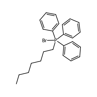 CCCCCCCP(Br)(c1ccccc1)(c1ccccc1)c1ccccc1